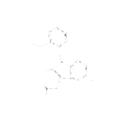 C=C1C(C)=C(CC(=O)O)c2cc(F)ccc21.CCc1ccccc1